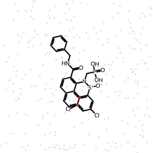 O=C(NCc1ccccc1)c1ccc2ccccc2c1N(CP(=O)(O)O)[S+]([O-])c1cc(Cl)cc(Cl)c1